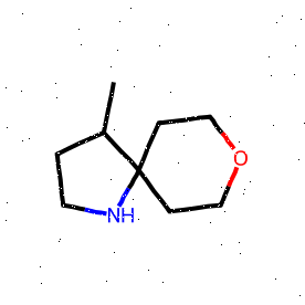 CC1CCNC12CCOCC2